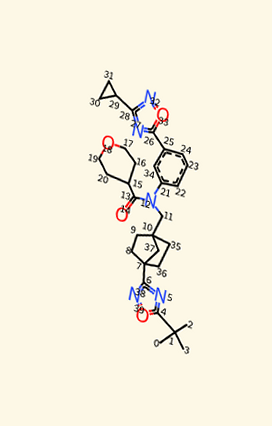 CC(C)(C)c1nc(C23CCC(CN(C(=O)C4CCOCC4)c4cccc(-c5nc(C6CC6)no5)c4)(CC2)C3)no1